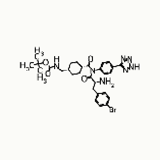 CC(C)(C)OC(=O)NC[C@H]1CC[C@H](C(=O)N(C(=O)[C@@H](N)Cc2ccc(Br)cc2)c2ccc(-c3nn[nH]n3)cc2)CC1